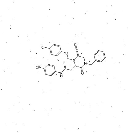 O=C=C1CN(Cc2ccccc2)C(=O)C(CC(=O)Nc2ccc(Cl)cc2)N1COc1ccc(Cl)cc1